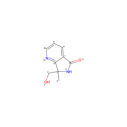 CC1(CO)NC(=O)c2cccnc21